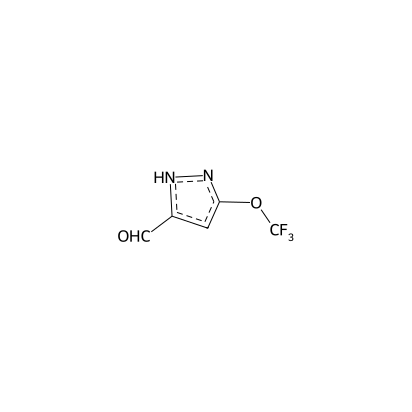 O=Cc1cc(OC(F)(F)F)n[nH]1